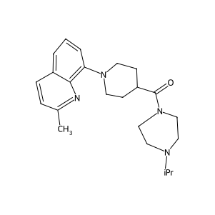 Cc1ccc2cccc(N3CCC(C(=O)N4CCN(C(C)C)CC4)CC3)c2n1